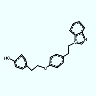 Oc1ccc(CCOc2ccc(CCn3cnc4ccccc43)cc2)cc1